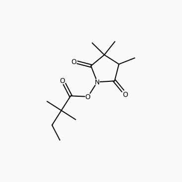 CCC(C)(C)C(=O)ON1C(=O)C(C)C(C)(C)C1=O